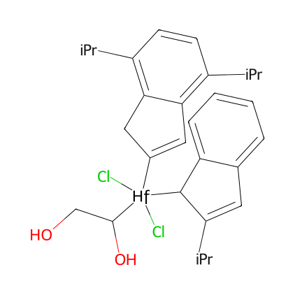 CC(C)C1=Cc2ccccc2[CH]1[Hf]([Cl])([Cl])([C]1=Cc2c(C(C)C)ccc(C(C)C)c2C1)[CH](O)CO